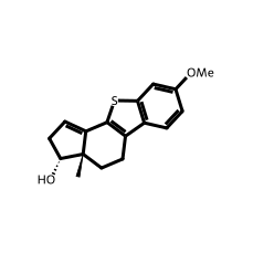 COc1ccc2c3c(sc2c1)C1=CC[C@@H](O)[C@@]1(C)CC3